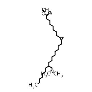 CCCCCCCC(CCCCCCCCC1CC1CCCCCCCC(=O)OC)CN(C)C